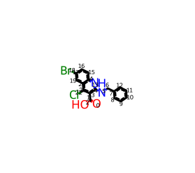 O=C(O)c1c(NCc2ccccc2)nc2ccc(Br)cc2c1Cl